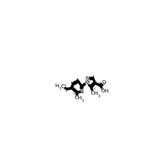 CCc1ccc(-n2ncc(C(=O)O)c2C)nc1C